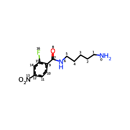 NCCCCCNC(=O)c1ccc([N+](=O)[O-])cc1F